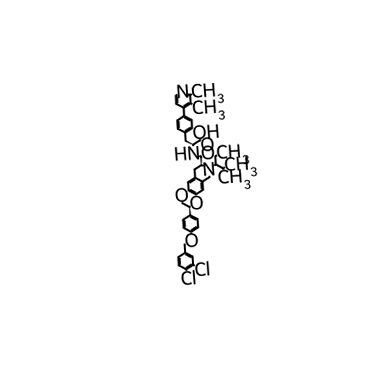 CCC(C(C)C)N1Cc2cc3c(cc2C[C@H]1C(=O)N[C@@H](Cc1ccc(-c2ccnc(C)c2C)cc1)C(=O)O)OC[C@H](c1ccc(OCc2ccc(Cl)c(Cl)c2)cc1)O3